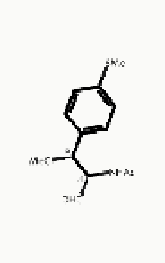 CO[C@@H](c1ccc(SC)cc1)[C@H](C=O)NC(C)=O